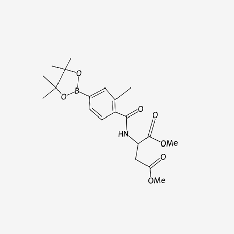 COC(=O)CC(NC(=O)c1ccc(B2OC(C)(C)C(C)(C)O2)cc1C)C(=O)OC